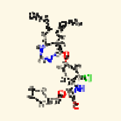 COc1cc2ncnc(Oc3ccc(NC(=O)OCC4CCCC4)c(Cl)c3)c2cc1OC